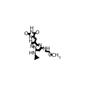 COCCNc1cc(NC2CC2)n2ncc(/C=C3\NC(=O)NC3=O)c2n1